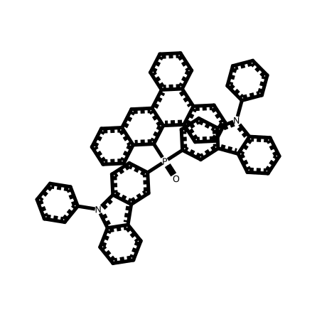 O=P(c1ccc2c(c1)c1ccccc1n2-c1ccccc1)(c1ccc2c(c1)c1ccccc1n2-c1ccccc1)c1c2ccccc2cc2c3ccccc3c3ccccc3c12